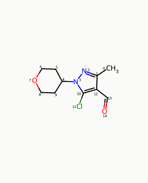 Cc1nn(C2CCOCC2)c(Cl)c1C=O